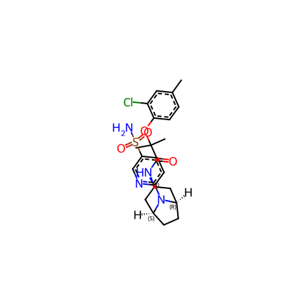 Cc1ccc(OC(C)(C)C(=O)N[C@H]2C[C@H]3CC[C@@H](C2)N3c2ccc(S(N)(=O)=O)cn2)c(Cl)c1